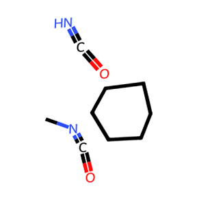 C1CCCCC1.CN=C=O.N=C=O